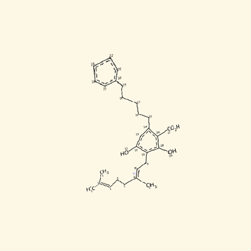 CC(C)=CCC/C(C)=C/Cc1c(O)cc(CCCCCc2ccccc2)c(C(=O)O)c1O